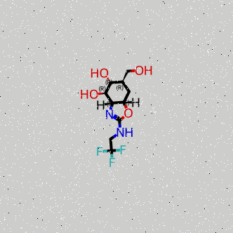 OC[C@H]1C[C@@H]2OC(NCC(F)(F)F)=N[C@@H]2[C@@H](O)[C@@H]1O